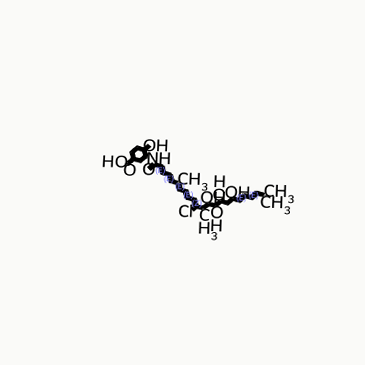 CC(/C=C/C=C/C(=O)NC1CC(C(=O)O)CCC1O)=C\C=C\C=C(/Cl)C(C)C(O)C(O)C(O)CC(O)/C=C/C=C/C(C)C